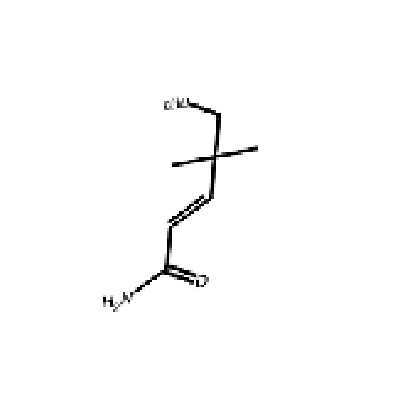 CC(C)(C)CC(C)(C)C=CC(N)=O